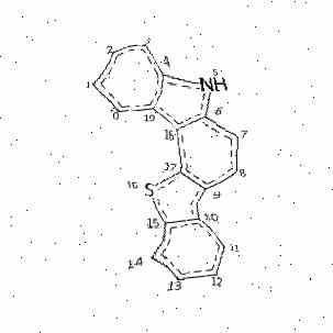 [c]1cccc2[nH]c3ccc4c5ccccc5sc4c3c12